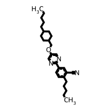 CCCCCc1ccc(-c2ncc(OCC3CCC(CCCCC)CC3)cn2)cc1C#N